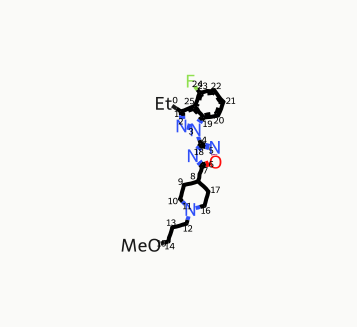 CCc1nn(-c2noc(C3CCN(CCCOC)CC3)n2)c2cccc(F)c12